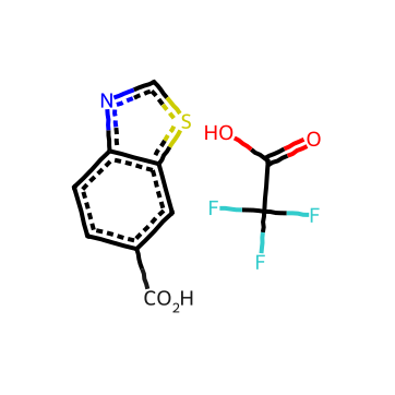 O=C(O)C(F)(F)F.O=C(O)c1ccc2ncsc2c1